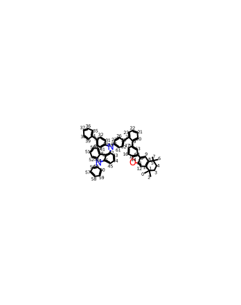 CC1(C)CCC(C)(C)c2cc3c(cc21)oc1ccc(-c2ccccc2-c2ccc(N(c4ccc(-c5ccccc5)cc4)c4cccc5c4c4ccccc4n5-c4ccccc4)cc2)cc13